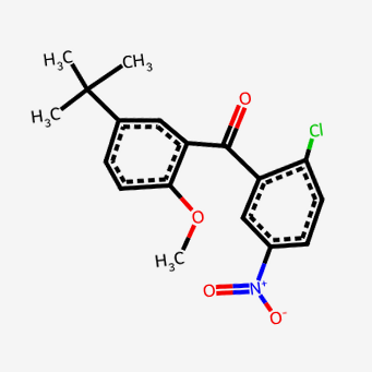 COc1ccc(C(C)(C)C)cc1C(=O)c1cc([N+](=O)[O-])ccc1Cl